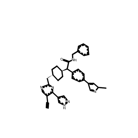 C#Cc1cnc(C[C@H]2CC[C@H](C(C(=O)NCc3ccccc3)c3ccc(C4=CC(C)N=C4)cc3)CC2)nc1-c1cn[nH]c1